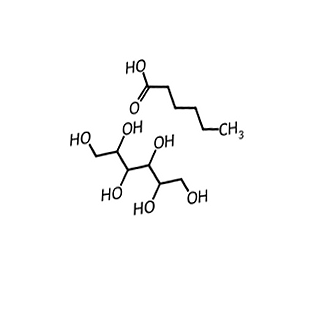 CCCCCC(=O)O.OCC(O)C(O)C(O)C(O)CO